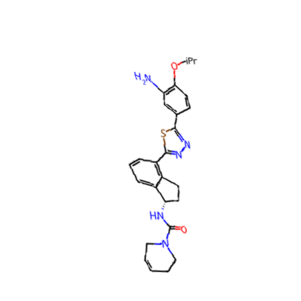 CC(C)Oc1ccc(-c2nnc(-c3cccc4c3CC[C@@H]4NC(=O)N3CC=CCC3)s2)cc1N